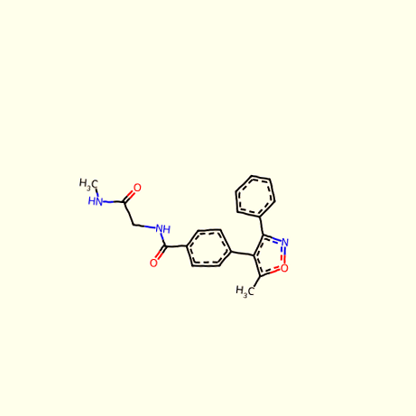 CNC(=O)CNC(=O)c1ccc(-c2c(-c3ccccc3)noc2C)cc1